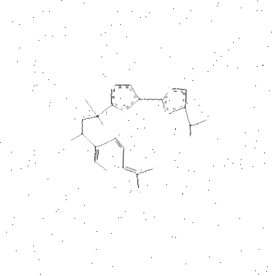 C/C=C(\C=C/C=C(N)N)C(C)CC(C)(C)c1nc(-c2ncc(C(C)C)s2)cs1